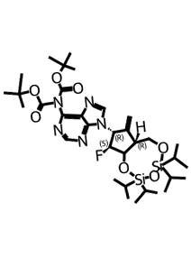 C=C1[C@@H](n2cnc3c(N(C(=O)OC(C)(C)C)C(=O)OC(C)(C)C)ncnc32)[C@H](F)C2O[Si](C(C)C)(C(C)C)O[Si](C(C)C)(C(C)C)OC[C@@H]12